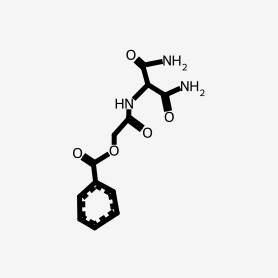 NC(=O)C(NC(=O)COC(=O)c1ccccc1)C(N)=O